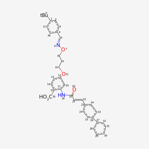 CC(C)(C)c1ccc(C=NOCCCOc2ccc(C(=O)O)c(NC(=O)/C=C/c3ccc(-c4ccccc4)cc3)c2)cc1